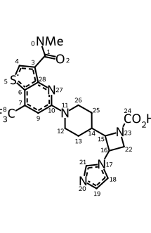 CNC(=O)c1csc2c(C(F)(F)F)cc(N3CCC(C4C(n5ccnc5)CN4C(=O)O)CC3)nc12